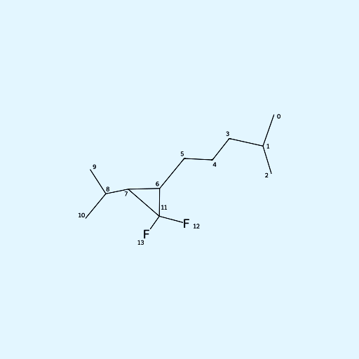 CC(C)CCCC1C(C(C)C)C1(F)F